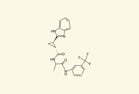 CC(NC(=O)[C@@H]1C[C@H]1c1nc2ccccc2[nH]1)C(=O)Nc1cccc(C(F)(F)F)c1